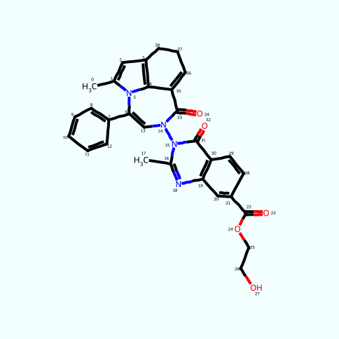 Cc1cc2c3n1C(c1ccccc1)=CN(n1c(C)nc4cc(C(=O)OCCO)ccc4c1=O)C(=O)C3=CCC2